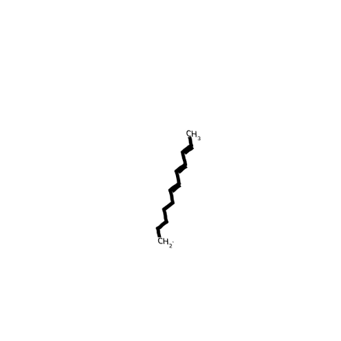 [CH2]CCCCC=CC=CC=CC